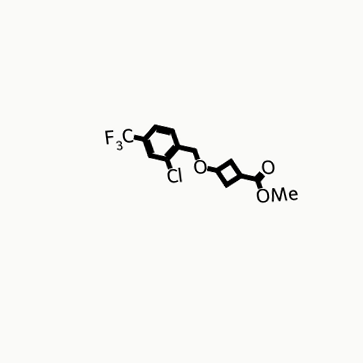 COC(=O)C1CC(OCc2ccc(C(F)(F)F)cc2Cl)C1